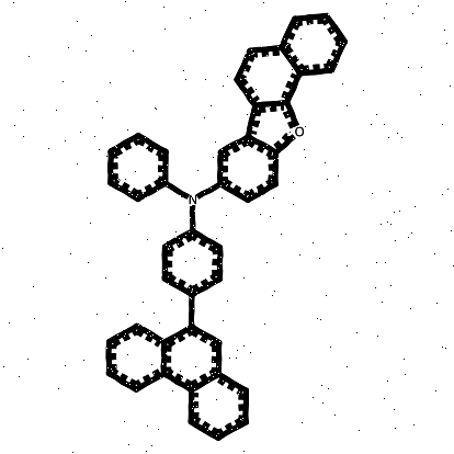 c1ccc(N(c2ccc(-c3cc4ccccc4c4ccccc34)cc2)c2ccc3oc4c5ccccc5ccc4c3c2)cc1